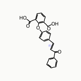 O=C(/C=C/c1ccc(Oc2c(C(=O)O)cccc2C(=O)O)cc1)c1ccccc1